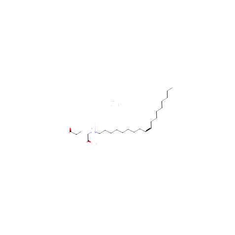 CCCCCCCC/C=C\CCCCCCCCN[C@@H](CCC(=O)[O-])C(=O)[O-].[Zn+2]